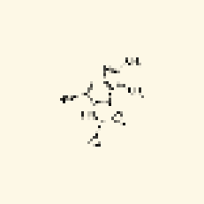 Cc1nc2cc(C#N)c(NC(C3CC3)C3CC3)nc2n1C